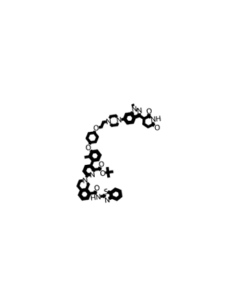 Cc1c(OC2CCC(OCCN3CCN(c4ccc5c(C6CCC(=O)NC6=O)nn(C)c5c4)CC3)CC2)cccc1-c1ccc(N2CCc3cccc(C(=O)Nc4nc5ccccc5s4)c3C2)nc1C(=O)OC(C)(C)C